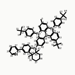 Cc1cc2c3c(c1)N(c1ccc(C(C)(C)C)cc1)c1cc(N4c5ccc(-c6ccccn6)cc5C5(C)CCCCC45C)ccc1B3c1cc(C(C)(C)C)ccc1N2c1ccc(C(C)(C)C)cc1